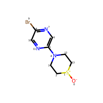 [O-][S+]1CCN(c2cnc(Br)cn2)CC1